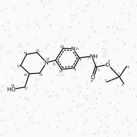 CC(C)(C)OC(=O)Nc1ccc(N2CCCC(CO)C2)cn1